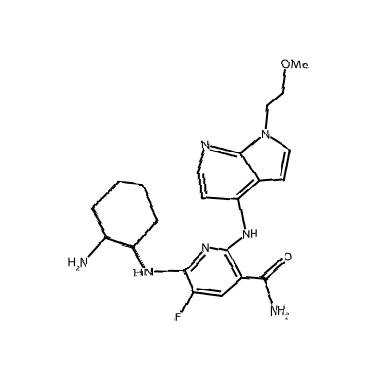 COCCn1ccc2c(Nc3nc(NC4CCCCC4N)c(F)cc3C(N)=O)ccnc21